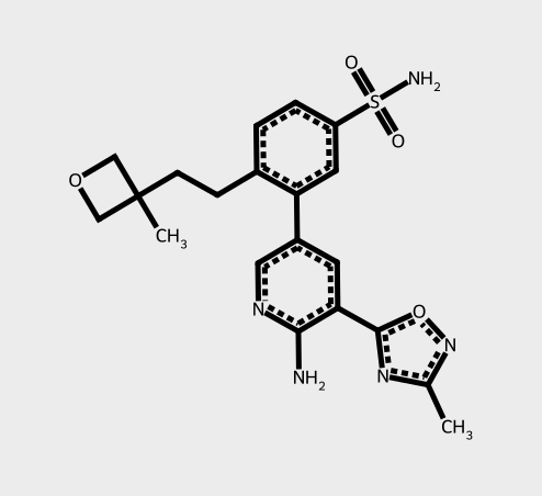 Cc1noc(-c2cc(-c3cc(S(N)(=O)=O)ccc3CCC3(C)COC3)cnc2N)n1